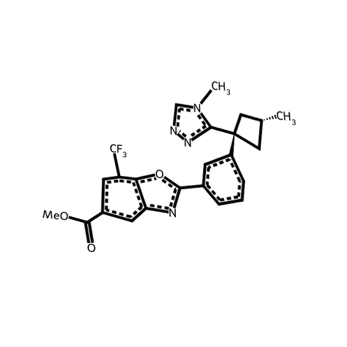 COC(=O)c1cc(C(F)(F)F)c2oc(-c3cccc([C@]4(c5nncn5C)C[C@@H](C)C4)c3)nc2c1